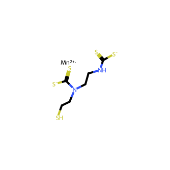 S=C([S-])NCCN(CCS)C(=S)[S-].[Mn+2]